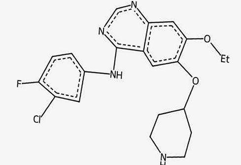 CCOc1cc2ncnc(Nc3ccc(F)c(Cl)c3)c2cc1OC1CCNCC1